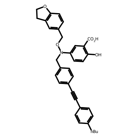 CCCCc1ccc(C#Cc2ccc(CN(OCc3ccc4c(c3)CCO4)c3ccc(O)c(C(=O)O)c3)cc2)cc1